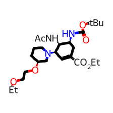 CCOCCO[C@H]1CCCN([C@@H]2C=C(C(=O)OCC)C[C@H](NC(=O)OC(C)(C)C)[C@H]2NC(C)=O)C1